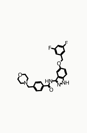 O=C(Nc1n[nH]c2ccc(OCc3cc(F)cc(F)c3)cc12)c1ccc(CN2CCOCC2)cc1